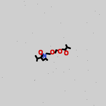 CC(C)C(=O)COCCOCCN1C(=O)C(C(C)C)CC1C